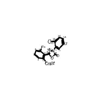 COc1cccc(F)c1-c1nn(-c2ccccc2Cl)c(=O)o1